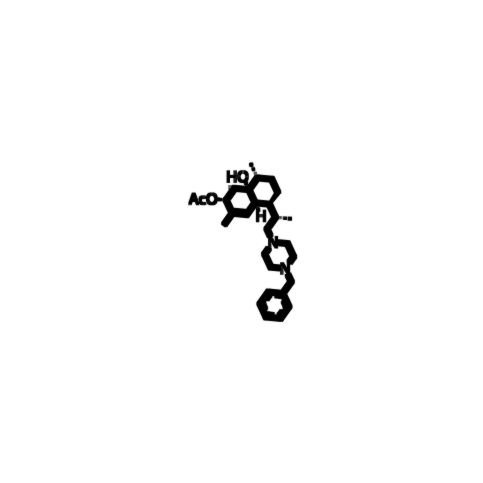 CC(=O)O[C@@H]1[C][C@@]2(O)[C@H](C)CC[C@@H]([C@H](C)CN3CCN(Cc4ccccc4)CC3)[C@H]2C=C1C